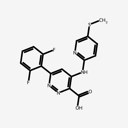 CSc1ccc(Nc2cc(-c3c(F)cccc3F)nnc2C(=O)O)nc1